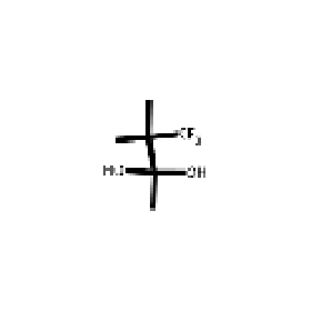 CC(O)(O)C(C)(C)C(F)(F)F